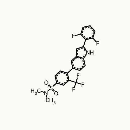 CN(C)S(=O)(=O)c1ccc(-c2ccc3[nH]c(-c4c(F)cccc4F)cc3c2)c(C(F)(F)F)c1